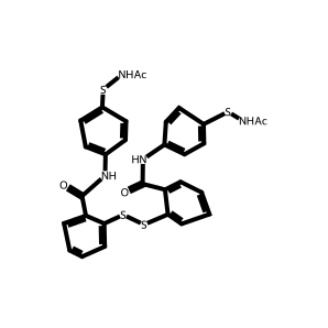 CC(=O)NSc1ccc(NC(=O)c2ccccc2SSc2ccccc2C(=O)Nc2ccc(SNC(C)=O)cc2)cc1